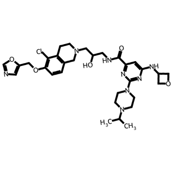 CC(C)N1CCN(c2nc(NC3COC3)cc(C(=O)NCC(O)CN3CCc4c(ccc(OCc5cnco5)c4Cl)C3)n2)CC1